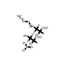 CCCC(F)(F)C(F)(CC)C(=O)[O-].CCCC(F)(F)C(F)(CC)C(=O)[O-].CCOCC.C[CH2][Al]([CH2]C)[CH2]C.[B].[B].[Ni+2]